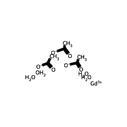 CC(=O)[O-].CC(=O)[O-].CC(=O)[O-].O.O.O.O.[Gd+3]